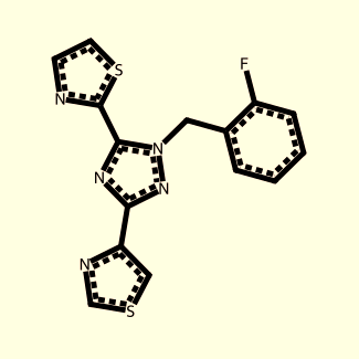 Fc1ccccc1Cn1nc(-c2cscn2)nc1-c1nccs1